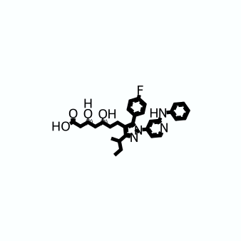 CCC(C)c1nn(-c2ccnc(Nc3ccccc3)c2)c(-c2ccc(F)cc2)c1CC[C@@H](O)C[C@@H](O)CC(=O)O